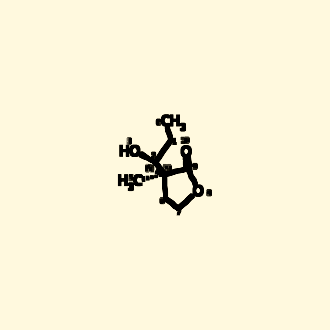 CC[C@H](O)[C@]1(C)CCOC1=O